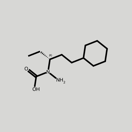 CC[C@H](CCC1CCCCC1)N(N)C(=O)O